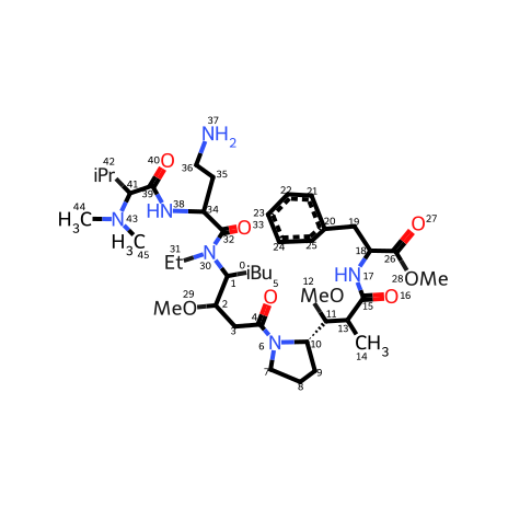 CCC(C)C(C(CC(=O)N1CCC[C@H]1C(OC)C(C)C(=O)NC(Cc1ccccc1)C(=O)OC)OC)N(CC)C(=O)C(CCN)NC(=O)C(C(C)C)N(C)C